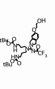 CC(C)(C)OC(=O)NCCCN(CCCNC(=O)OC(C)(C)C)/C(=N/C(=O)C(F)(F)F)N1Cc2ccc(OCCO)cc2C1